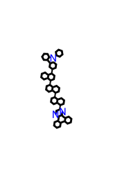 c1ccc(-n2c3ccccc3c3cc(-c4ccc(-c5cccc6c(-c7cccc8c(-c9cnc%10c%11ccccc%11c%11ccccc%11c%10n9)cccc78)cccc56)c5ccccc45)ccc32)cc1